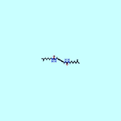 CC(C)CCCCCNC(=O)NCC#CC#CCNC(=O)NCCCCCC(C)C